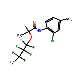 O=C(Nc1ccc([N+](=O)[O-])cc1Br)C(F)(OC(F)(F)C(F)(F)C(F)(F)C(F)(F)F)C(F)(F)F